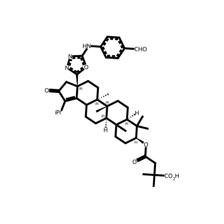 CC(C)C1=C2C3CC[C@@H]4C5(C)CC[C@H](OC(=O)CC(C)(C)C(=O)O)C(C)(C)[C@@H]5CC[C@@]4(C)[C@]3(C)CC[C@@]2(c2nnc(Nc3ccc(C=O)cc3)o2)CC1=O